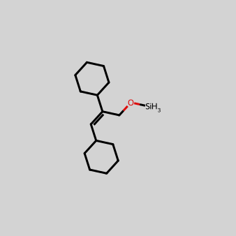 [SiH3]OCC(=CC1CCCCC1)C1CCCCC1